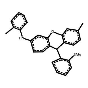 CSc1ccccc1C1c2ccc(C)cc2Oc2cc(Nc3ccccc3C)ccc21